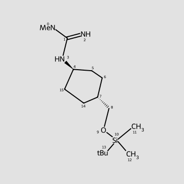 CNC(=N)N[C@H]1CC[C@H](CO[Si](C)(C)C(C)(C)C)CC1